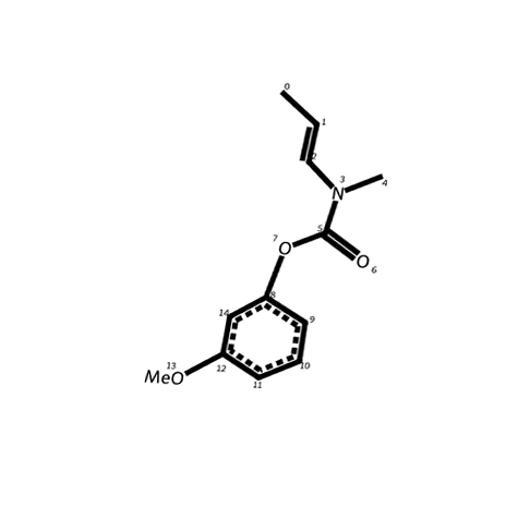 C/C=C/N(C)C(=O)Oc1cccc(OC)c1